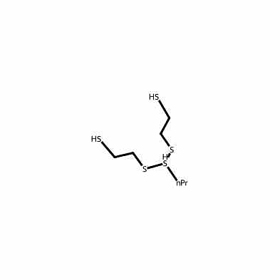 CCC[SH](SCCS)SCCS